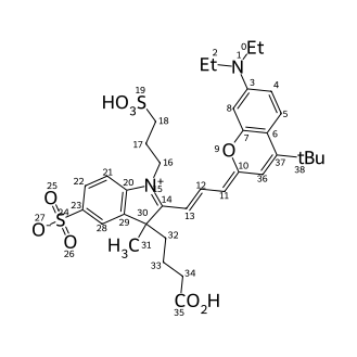 CCN(CC)c1ccc2c(c1)O/C(=C\C=C\C1=[N+](CCCS(=O)(=O)O)c3ccc(S(=O)(=O)[O-])cc3C1(C)CCCC(=O)O)C=C2C(C)(C)C